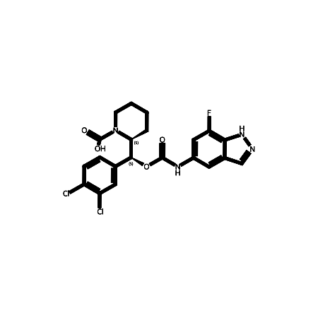 O=C(Nc1cc(F)c2[nH]ncc2c1)O[C@@H](c1ccc(Cl)c(Cl)c1)[C@@H]1CCCCN1C(=O)O